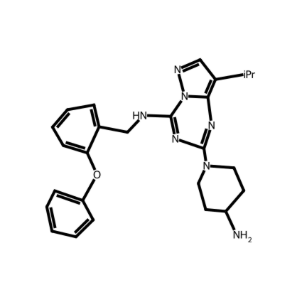 CC(C)c1cnn2c(NCc3ccccc3Oc3ccccc3)nc(N3CCC(N)CC3)nc12